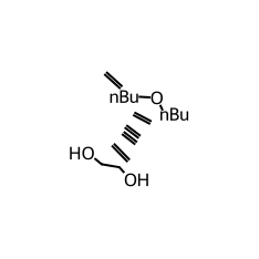 C=C.C=C.C=C.C=C.C=C.CCCCOCCCC.OCCO